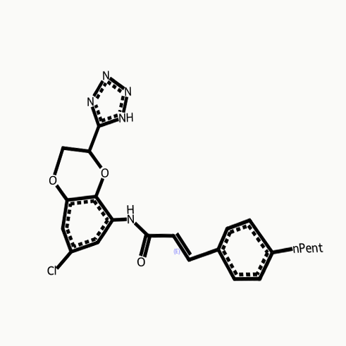 CCCCCc1ccc(/C=C/C(=O)Nc2cc(Cl)cc3c2OC(c2nnn[nH]2)CO3)cc1